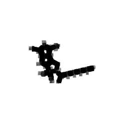 C=C=C=C=C=C(C)N1Cc2c(sc3c(I)sc(Br)c23)S1(=O)=O